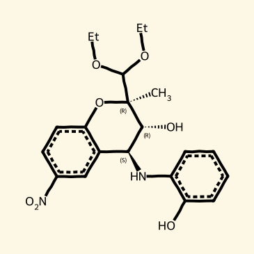 CCOC(OCC)[C@]1(C)Oc2ccc([N+](=O)[O-])cc2[C@H](Nc2ccccc2O)[C@H]1O